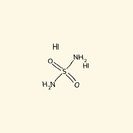 I.I.NS(N)(=O)=O